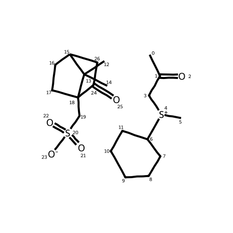 CC(=O)C[S+](C)C1CCCCC1.CC1(C)C2CCC1(CS(=O)(=O)[O-])C(=O)C2